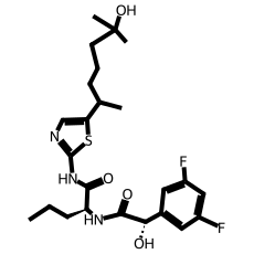 CCC[C@H](NC(=O)[C@@H](O)c1cc(F)cc(F)c1)C(=O)Nc1ncc(C(C)CCCC(C)(C)O)s1